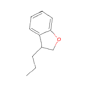 CCCC1COc2ccccc21